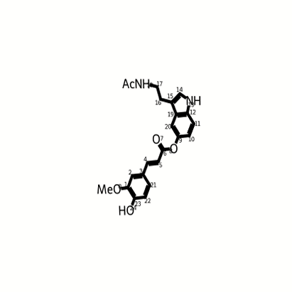 COc1cc(/C=C/C(=O)Oc2ccc3[nH]cc(CCNC(C)=O)c3c2)ccc1O